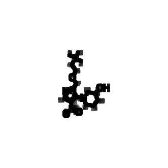 C[Si](C)(C)CCOCn1ncc([N+](=O)[O-])c1N1CCCC(O)C1